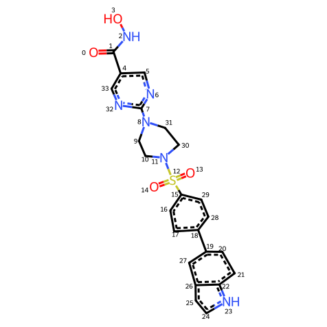 O=C(NO)c1cnc(N2CCN(S(=O)(=O)c3ccc(-c4ccc5[nH]ccc5c4)cc3)CC2)nc1